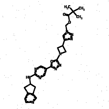 CC(C)(C)C(=O)OCn1cc(C2CN(c3nnc(-c4cnc(NC5Cc6ccncc6C5)nc4)o3)C2)nn1